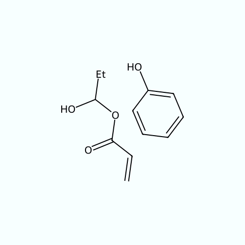 C=CC(=O)OC(O)CC.Oc1ccccc1